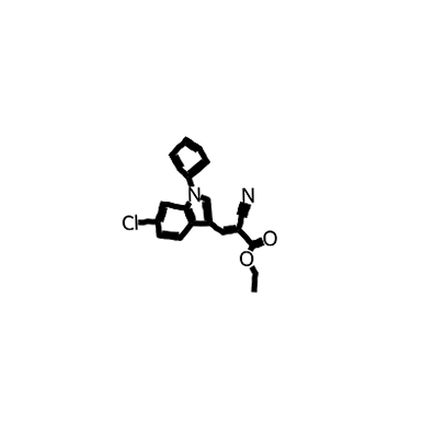 CCOC(=O)/C(C#N)=C/c1cn(-c2ccccc2)c2cc(Cl)ccc12